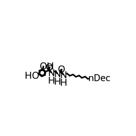 CCCCCCCCCCCCCCCCCCNC(=O)NCNC(=O)c1ccc(O)cc1O